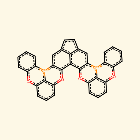 c1ccc2c(c1)oc1cccc3oc4c5c6oc7cccc8oc9ccccc9p(c6cc6ccc(cc4p2c13)c65)c87